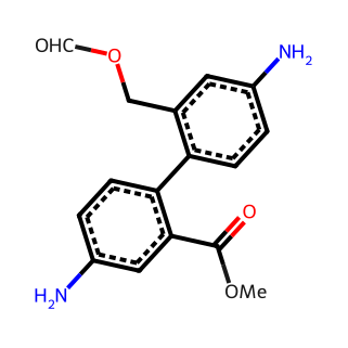 COC(=O)c1cc(N)ccc1-c1ccc(N)cc1COC=O